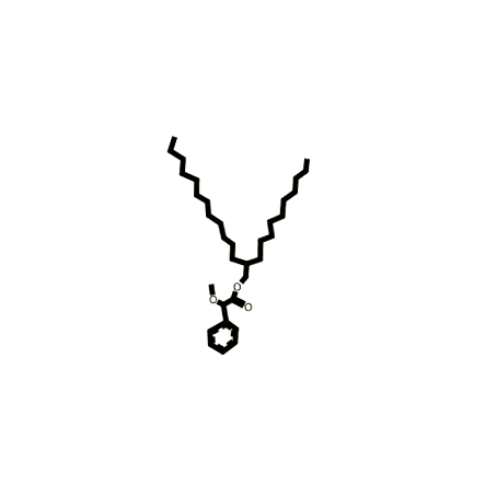 CCCCCCCCCCCCC(CCCCCCCCCC)COC(=O)C(OC)c1ccccc1